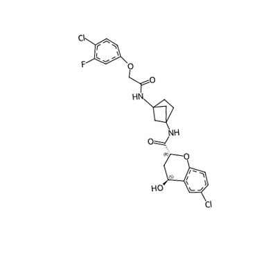 O=C(COc1ccc(Cl)c(F)c1)NC12CCC(NC(=O)[C@H]3C[C@H](O)c4cc(Cl)ccc4O3)(C1)C2